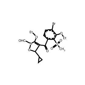 CCOC1=C(C(=O)c2ccc(Br)c(OCC)c2S(C)(=O)=O)C(C2CC2)ON1C=O